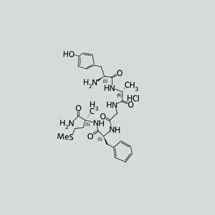 CSCC[C@](C)(NC(=O)[C@H](Cc1ccccc1)NC(=O)CNC(=O)[C@@H](C)NC(=O)[C@@H](N)Cc1ccc(O)cc1)C(N)=O.Cl